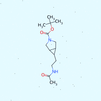 CC(=O)NCCC1C2CN(C(=O)OC(C)(C)C)CC12